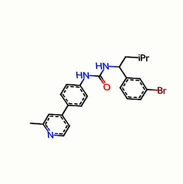 Cc1cc(-c2ccc(NC(=O)NC(CC(C)C)c3cccc(Br)c3)cc2)ccn1